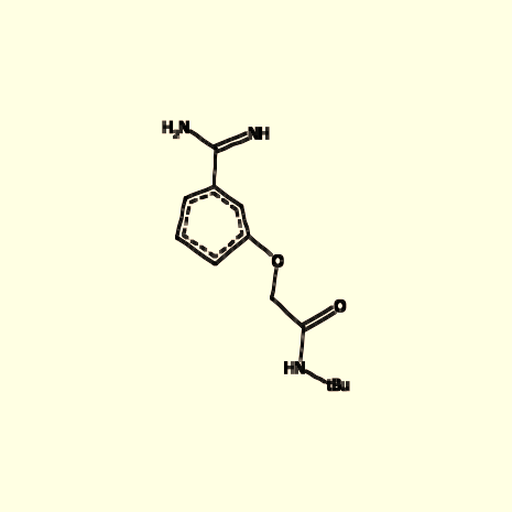 CC(C)(C)NC(=O)COc1cccc(C(=N)N)c1